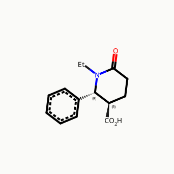 CCN1C(=O)CC[C@@H](C(=O)O)[C@@H]1c1ccccc1